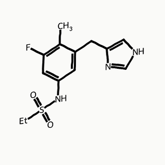 CCS(=O)(=O)Nc1cc(F)c(C)c(Cc2c[nH]cn2)c1